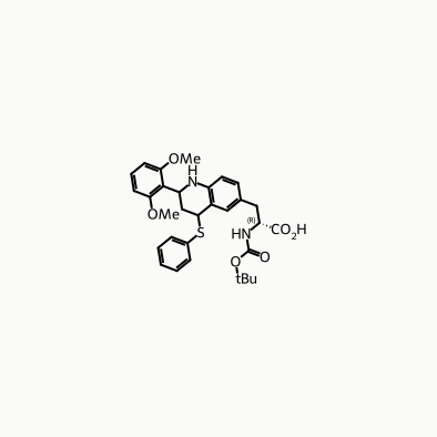 COc1cccc(OC)c1C1CC(Sc2ccccc2)c2cc(C[C@@H](NC(=O)OC(C)(C)C)C(=O)O)ccc2N1